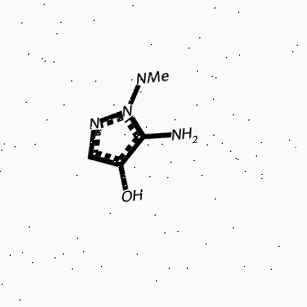 CNn1ncc(O)c1N